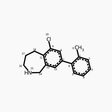 Cc1ccccc1-c1cc(Cl)c2c(c1)CNCCC2